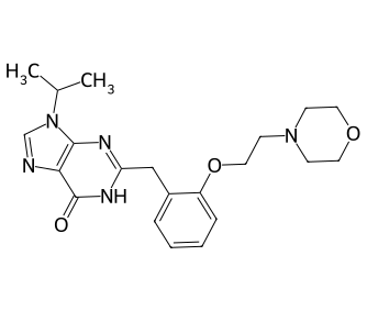 CC(C)n1cnc2c(=O)[nH]c(Cc3ccccc3OCCN3CCOCC3)nc21